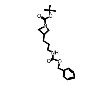 CC(C)(C)OC(=O)N1CC(CCCNC(=O)OCc2ccccc2)C1